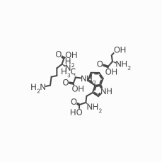 C[C@H](N)C(=O)O.NCCCC[C@H](N)C(=O)O.N[C@@H](Cc1c[nH]c2ccccc12)C(=O)O.N[C@H](CO)C(=O)O